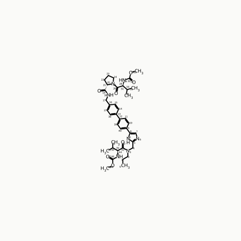 CCCN(Cc1ncc(-c2ccc(-c3ccc(CNC(=O)[C@@H]4CCCN4C(=O)[C@@H](NC(=O)OC)C(C)C)cc3)cc2)[nH]1)C(=O)[C@@H](NC(=O)OC)C(C)C